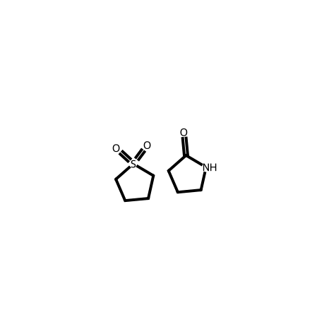 O=C1CCCN1.O=S1(=O)CCCC1